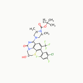 C[C@@H]1CN(c2nc(=O)n3c4c(c(-c5cc(Cl)c(F)cc5F)c(C(F)(F)F)cc24)SC[C@H](O)C3)C[C@H](C)N1C(=O)OC(C)(C)C